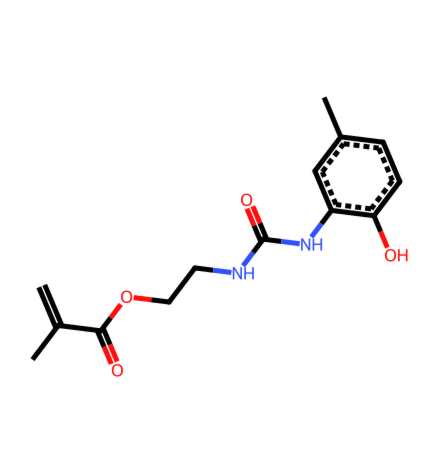 C=C(C)C(=O)OCCNC(=O)Nc1cc(C)ccc1O